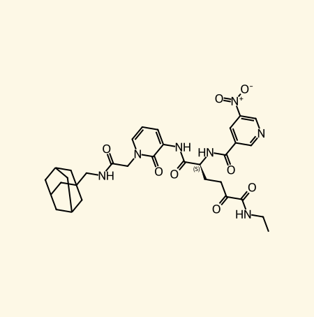 CCNC(=O)C(=O)CC[C@H](NC(=O)c1cncc([N+](=O)[O-])c1)C(=O)Nc1cccn(CC(=O)NCC23CC4CC(CC(C4)C2)C3)c1=O